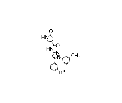 CCCc1cccc(-c2cc(NC(=O)[C@H]3CNC(=O)C3)nn2-c2cccc(C)c2)c1